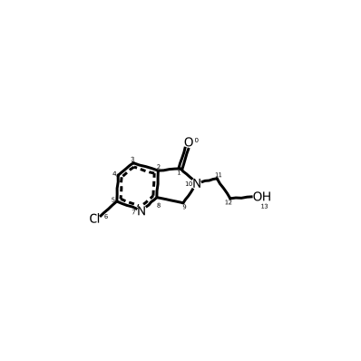 O=C1c2ccc(Cl)nc2CN1CCO